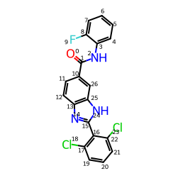 O=C(Nc1ccccc1F)c1ccc2nc(-c3c(Cl)cccc3Cl)[nH]c2c1